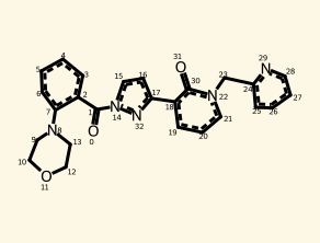 O=C(c1ccccc1N1CCOCC1)n1ccc(-c2cccn(Cc3ccccn3)c2=O)n1